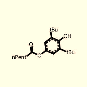 CCCCCC(=O)Oc1cc(C(C)(C)C)c(O)c(C(C)(C)C)c1